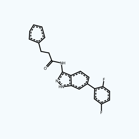 O=C(CCc1ccccc1)Nc1n[nH]c2cc(-c3cc(F)ccc3F)ccc12